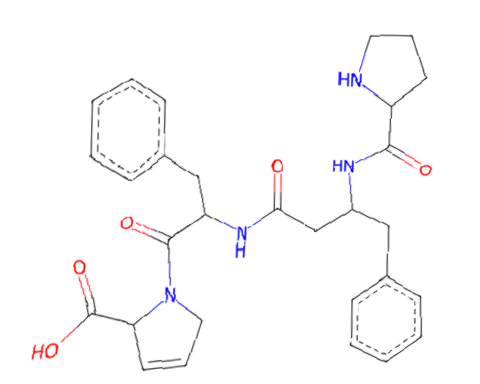 O=C(CC(Cc1ccccc1)NC(=O)C1CCCN1)NC(Cc1ccccc1)C(=O)N1CC=CC1C(=O)O